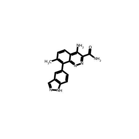 Cc1ccc2c(N)c(C(N)=O)nnc2c1-c1ccc2[nH]ncc2c1